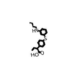 CCCCNc1cccc(Sc2ccc(C(CC)C(=O)O)cc2)c1